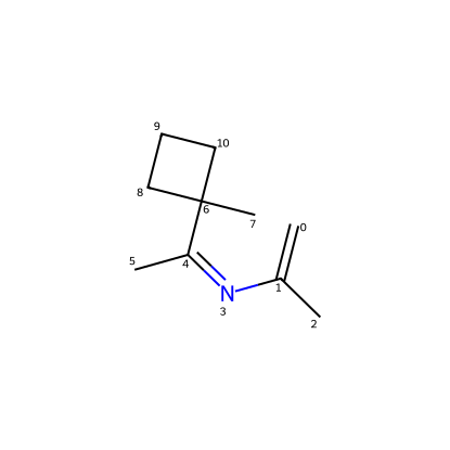 C=C(C)/N=C(/C)C1(C)CCC1